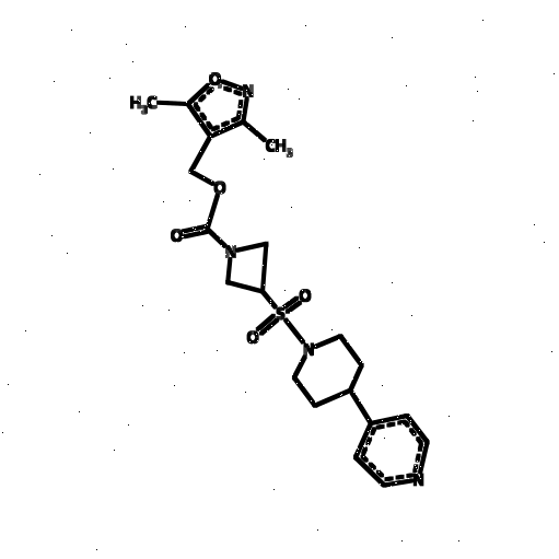 Cc1noc(C)c1COC(=O)N1CC(S(=O)(=O)N2CCC(c3ccncc3)CC2)C1